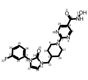 O=C(NO)c1cnc(N2CCC(Cn3ccn(-c4cccc(F)c4)c3=O)CC2)nc1